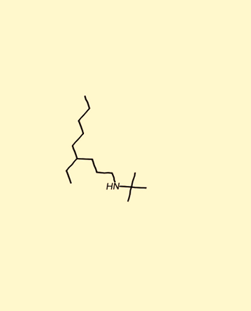 CCCCCC(CC)CCCNC(C)(C)C